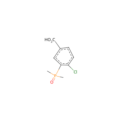 CP(C)(=O)c1cc(C(=O)O)ccc1Cl